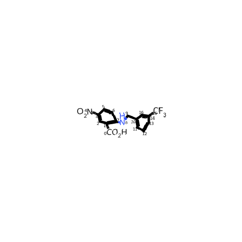 O=C(O)c1cc([N+](=O)[O-])ccc1NCc1cccc(C(F)(F)F)c1